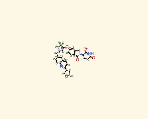 O=C1CCC(N2Cc3cc(OC4CN(Cc5ccc6nc(C7CCOC7)ccc6c5)CC4(F)F)ccc3C2=O)C(=O)N1